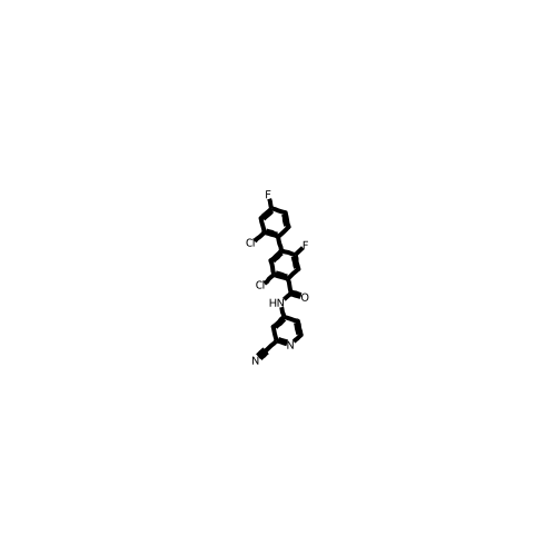 N#Cc1cc(NC(=O)c2cc(F)c(-c3ccc(F)cc3Cl)cc2Cl)ccn1